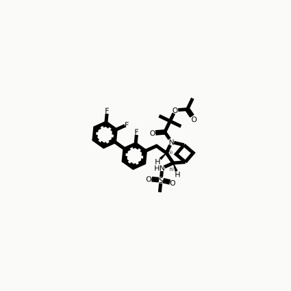 CC(=O)OC(C)(C)C(=O)N1C2CC(C2)[C@H](NS(C)(=O)=O)[C@@H]1Cc1cccc(-c2cccc(F)c2F)c1F